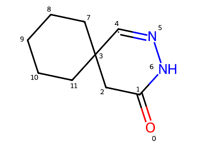 O=C1CC2([C]=NN1)CCCCC2